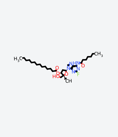 C#C[C@]1(CO)O[C@@H](n2cnc3c(NC(=O)CCCCCC)nc(F)nc32)C[C@@H]1OC(=O)CCCCCCCCCCCCC